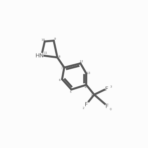 FC(F)(F)c1ccc(C2CCN2)cc1